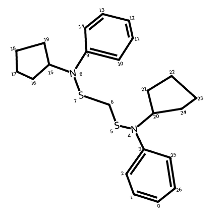 c1ccc(N(SCSN(c2ccccc2)C2CCCC2)C2CCCC2)cc1